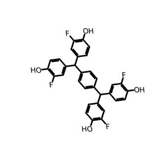 Oc1ccc(C(c2ccc(C(c3ccc(O)c(F)c3)c3ccc(O)c(F)c3)cc2)c2ccc(O)c(F)c2)cc1F